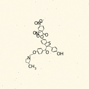 CC1CCN(CCOc2ccc(C(=O)c3c(-c4ccc(O)cc4)sc4cc(OC(=O)c5ccc([N+](=O)[O-])cc5[N+](=O)[O-])ccc34)cc2)C1